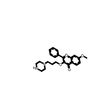 COc1ccc2c(=O)c(OCCCN3CCNCC3)c(-c3ccccc3)oc2c1